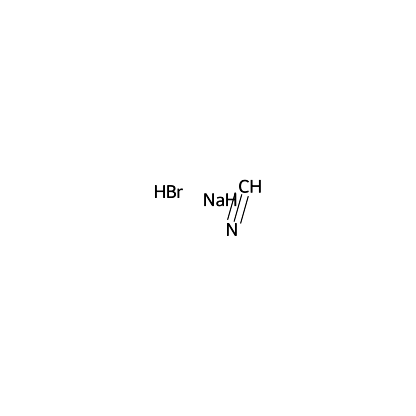 Br.C#N.[NaH]